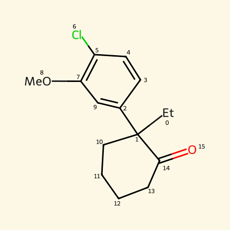 CCC1(c2ccc(Cl)c(OC)c2)CCCCC1=O